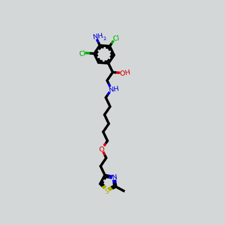 Cc1nc(CCOCCCCCCNCC(O)c2cc(Cl)c(N)c(Cl)c2)cs1